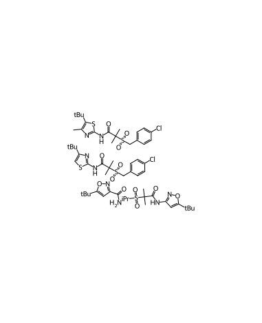 CC(C)(C)c1cc(C(N)=O)no1.CC(C)(C)c1csc(NC(=O)C(C)(C)S(=O)(=O)Cc2ccc(Cl)cc2)n1.CC(C)S(=O)(=O)C(C)(C)C(=O)Nc1cc(C(C)(C)C)on1.Cc1nc(NC(=O)C(C)(C)S(=O)(=O)Cc2ccc(Cl)cc2)sc1C(C)(C)C